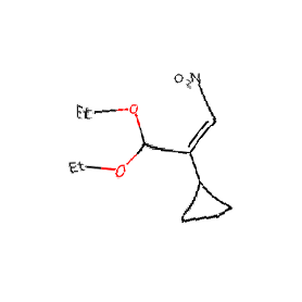 CCOC(OCC)C(=C[N+](=O)[O-])C1CC1